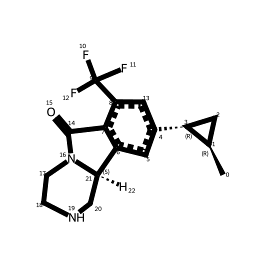 C[C@@H]1C[C@H]1c1cc2c(c(C(F)(F)F)c1)C(=O)N1CCNC[C@H]21